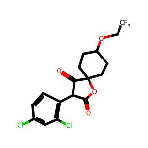 O=C1OC2(CCC(OCC(F)(F)F)CC2)C(=O)C1c1ccc(Cl)cc1Cl